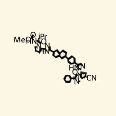 COC(=O)N[C@H](C(=O)N1CCCC1c1ncc(-c2ccc3cc(-c4ccc(-c5cnc([C@@H]6C[C@@H](C#N)CN6C(=O)[C@@H](c6ccccc6)N(C)C)[nH]5)cc4)ccc3c2)[nH]1)C(C)C